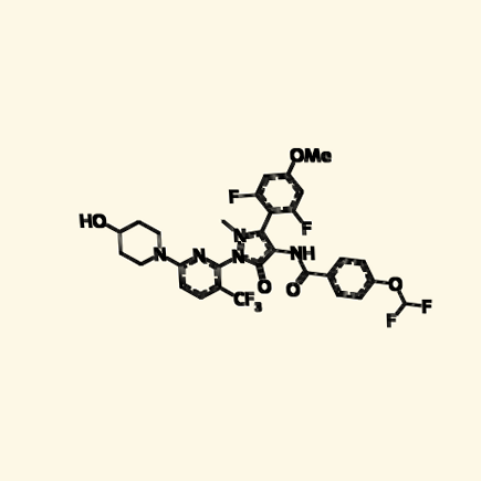 COc1cc(F)c(-c2c(NC(=O)c3ccc(OC(F)F)cc3)c(=O)n(-c3nc(N4CCC(O)CC4)ccc3C(F)(F)F)n2C)c(F)c1